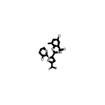 Cc1cc(Cl)cc2c(=O)[nH]c(-c3cc(C(F)F)nn3-c3ncccc3Cl)nc12